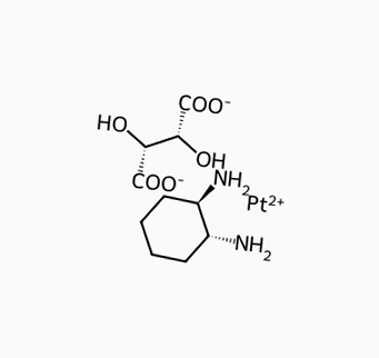 N[C@@H]1CCCC[C@H]1N.O=C([O-])[C@H](O)[C@@H](O)C(=O)[O-].[Pt+2]